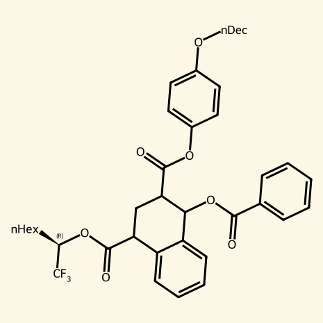 CCCCCCCCCCOc1ccc(OC(=O)C2CC(C(=O)O[C@H](CCCCCC)C(F)(F)F)c3ccccc3C2OC(=O)c2ccccc2)cc1